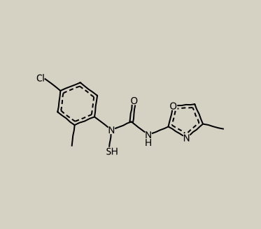 Cc1coc(NC(=O)N(S)c2ccc(Cl)cc2C)n1